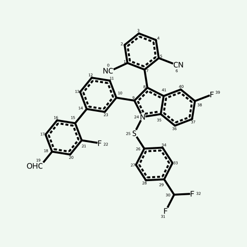 N#Cc1cccc(C#N)c1-c1c(-c2cccc(-c3ccc(C=O)cc3F)c2)n(Sc2ccc(C(F)F)cc2)c2ccc(F)cc12